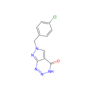 O=c1[nH]nnc2nn(Cc3ccc(Cl)cc3)cc12